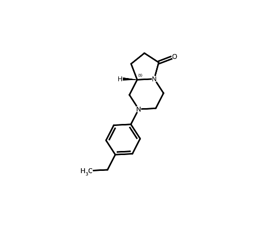 CCc1ccc(N2CCN3C(=O)CC[C@H]3C2)cc1